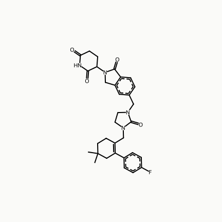 CC1(C)CCC(CN2CCN(Cc3ccc4c(c3)CN(C3CCC(=O)NC3=O)C4=O)C2=O)=C(c2ccc(F)cc2)C1